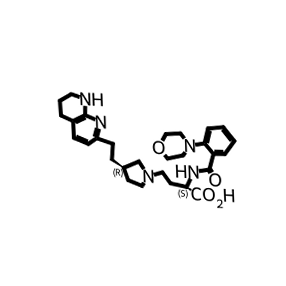 O=C(N[C@@H](CCN1CC[C@@H](CCc2ccc3c(n2)NCCC3)C1)C(=O)O)c1ccccc1N1CCOCC1